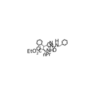 CCCC1=C(C(=O)OCC)C(c2ccccc2Cl)c2cnn(C(=O)NCc3ccccc3)c2N1